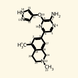 Cc1cc(-c2cnc(N)c(Oc3cn[nH]c3)n2)cc2c1CCN(C)C2